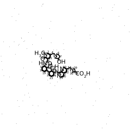 Cn1cc(CN2CC[C@@H](O)C2)cc(C(=O)Nc2cccc(-c3cccc(Nc4nccc5cc(CN6CC(C(=O)O)C6)cnc45)c3Cl)c2Cl)c1=O